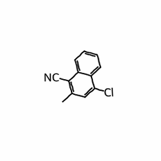 Cc1cc(Cl)c2ccccc2c1C#N